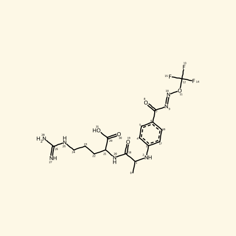 CC(Nc1ccc(C(=O)/N=N/OC(F)(F)F)cc1)C(=O)NC(CCCNC(=N)N)C(=O)O